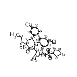 C=CC[C@@]1(CC)CC(c2cccc(Cl)c2)[C@@H](c2ccc(Cl)cc2)N([C@H](CNS(=O)(=O)C2CCCC2)C2CC2)C1=O